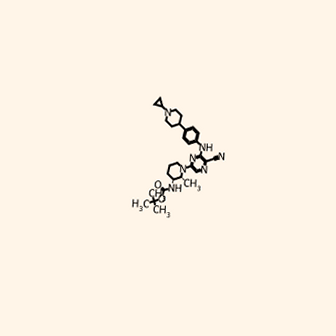 C[C@@H]1[C@H](NC(=O)OC(C)(C)C)CCCN1c1cnc(C#N)c(Nc2ccc(C3CCN(C4CC4)CC3)cc2)n1